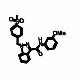 COc1cccc(NC(=O)c2nn(Cc3ccc(S(C)(=O)=O)cc3)c3ccccc23)c1